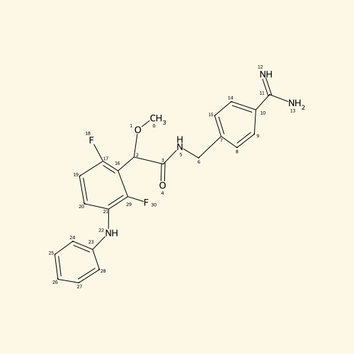 COC(C(=O)NCc1ccc(C(=N)N)cc1)c1c(F)ccc(Nc2ccccc2)c1F